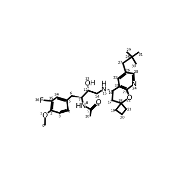 COc1ccc(C[C@H](NC(C)=O)[C@H](O)CN[C@H]2CC3(CCC3)Oc3ncc(CC(C)(C)C)cc32)cc1F